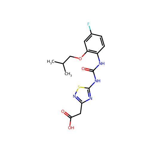 CC(C)COc1cc(F)ccc1NC(=O)Nc1nc(CC(=O)O)ns1